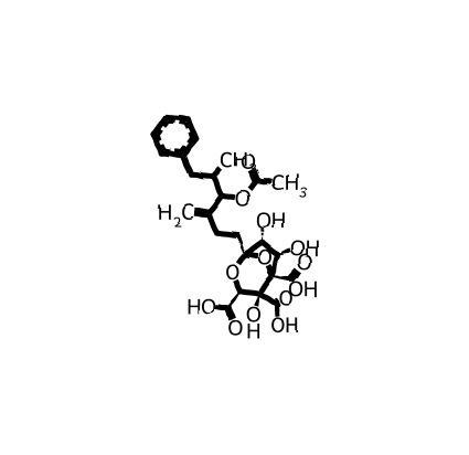 C=C(CC[C@]12O[C@H](C(=O)O)[C@@](O)(C(=O)O)[C@](C(=O)O)(O1)[C@H](O)[C@H]2O)C(OC(C)=O)C(C)Cc1ccccc1